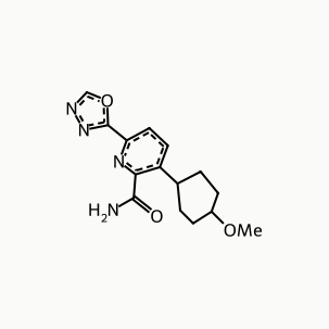 COC1CCC(c2ccc(-c3nnco3)nc2C(N)=O)CC1